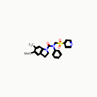 COc1cc2c(cc1C(F)(F)F)N(C(=O)N(CS(=O)(=O)c1ccncc1)c1ccccc1)CC2